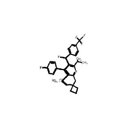 CC(C)c1nc2c(c(-c3ccc(F)cc3)c1C(F)c1ccc(C(F)(F)F)cc1)[C@@H](O)CC1(CCC1)C2